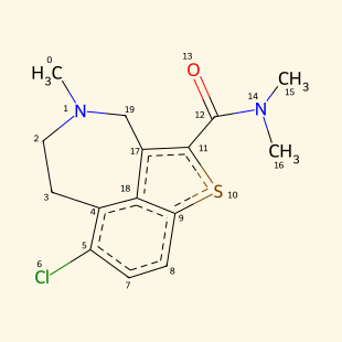 CN1CCc2c(Cl)ccc3sc(C(=O)N(C)C)c(c23)C1